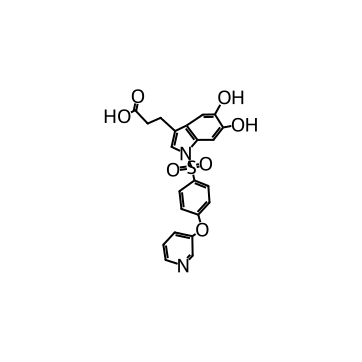 O=C(O)CCc1cn(S(=O)(=O)c2ccc(Oc3cccnc3)cc2)c2cc(O)c(O)cc12